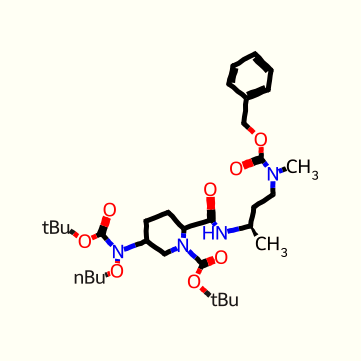 CCCCON(C(=O)OC(C)(C)C)C1CCC(C(=O)N[C@H](C)CCN(C)C(=O)OCc2ccccc2)N(C(=O)OC(C)(C)C)C1